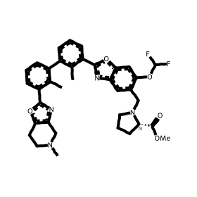 COC(=O)[C@@H]1CCCN1Cc1cc2nc(-c3cccc(-c4cccc(-c5nc6c(o5)CCN(C)C6)c4C)c3C)oc2cc1OC(F)F